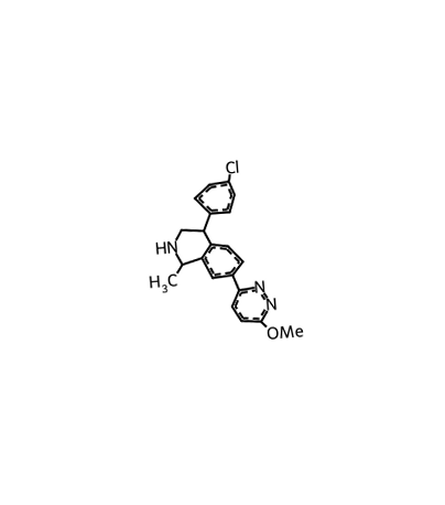 COc1ccc(-c2ccc3c(c2)C(C)NCC3c2ccc(Cl)cc2)nn1